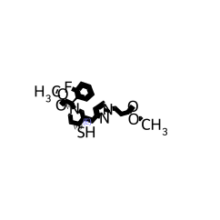 CCOC(=O)CCn1ccc(/C=C2\CN([C@@H](C(=O)OC)c3ccccc3F)CC[C@H]2S)n1